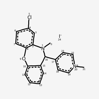 CN1c2cc(Cl)ccc2Oc2ccccc2C1c1cc[n+](C)cc1.[I-]